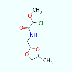 COC(Cl)C(=O)NCC1OCC(C)O1